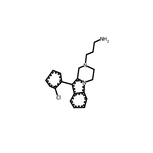 NCCCN1CCn2c(c(-c3ccccc3Cl)c3ccccc32)C1